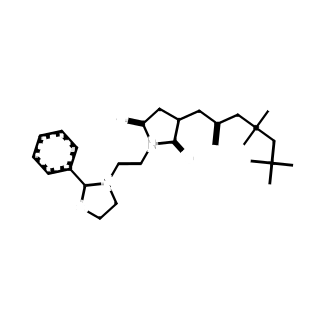 C=C(CC1CC(=O)N(CCN2CCOC2c2ccccc2)C1=O)CC(C)(C)CC(C)(C)C